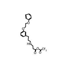 O=C(CCNCCCc1cccc(OCCOc2ccccc2)c1)OC(=O)C(F)(F)F